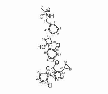 CS(=O)(=O)NCc1cccc([C@H]2C[C@](O)(c3ccc(OCc4c(-c5c(Cl)cccc5Cl)noc4C4CC4)cc3Cl)C2)c1